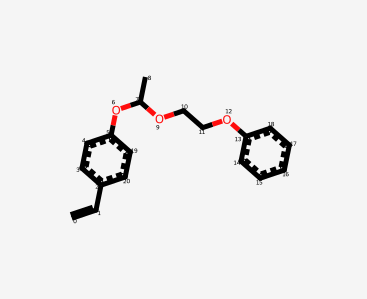 C=Cc1ccc(OC(C)OCCOc2ccccc2)cc1